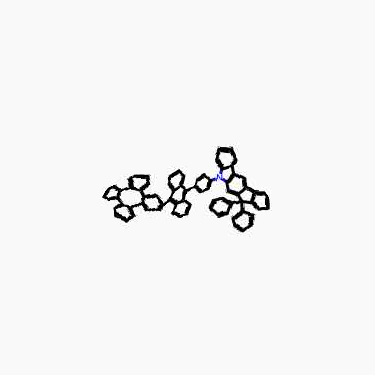 c1ccc(C2(c3ccccc3)c3ccccc3-c3cc4c5ccccc5n(-c5ccc(-c6c7ccccc7c(-c7ccc8c(c7)-c7ccccc7-c7ccccc7-c7ccccc7-8)c7ccccc67)cc5)c4cc32)cc1